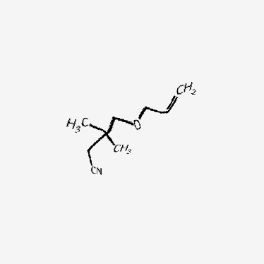 C=CCOCC(C)(C)CC#N